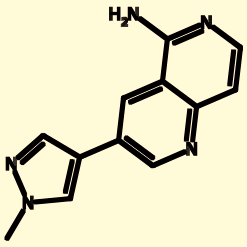 Cn1cc(-c2cnc3ccnc(N)c3c2)cn1